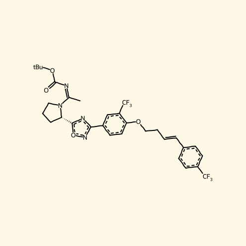 C/C(=N/C(=O)OC(C)(C)C)N1CCC[C@H]1c1nc(-c2ccc(OCC/C=C/c3ccc(C(F)(F)F)cc3)c(C(F)(F)F)c2)no1